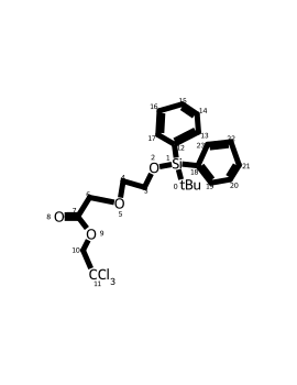 CC(C)(C)[Si](OCCOCC(=O)OCC(Cl)(Cl)Cl)(c1ccccc1)c1ccccc1